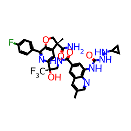 Cc1cnc2c(NC(=O)NNC3CC3)cc(C(=O)NC[C@](O)(c3cc4c(c(-c5ccc(F)cc5)n3)OC[C@]4(C)C(N)=O)C(F)(F)F)cc2c1